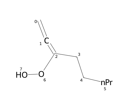 C=C=C(CCCCC)OO